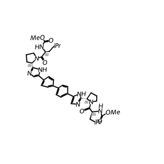 COC(=O)N[C@@H](CC(C)C)C(=O)N1CCC[C@H]1c1ncc(-c2ccc(-c3ccc(-c4cnc([C@@H]5CCCN5C(=O)[C@H](CC(C)C)NC(=O)OC)[nH]4)cc3)cc2)[nH]1